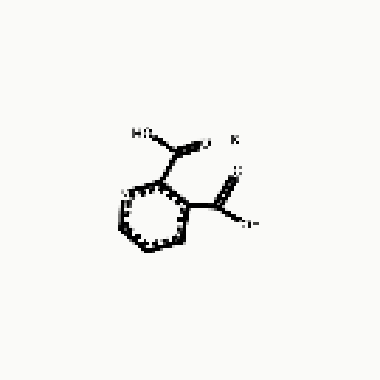 O=C(O)c1cccnc1C(=O)O.[K]